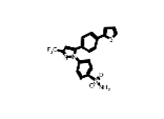 NS(=O)(=O)c1ccc(-n2nc(C(F)(F)F)cc2-c2ccc(-c3cccs3)cc2)cc1